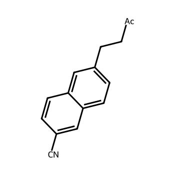 CC(=O)CCc1ccc2cc(C#N)ccc2c1